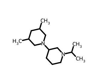 CC1CC(C)CN(C2CCCN(C(C)C)C2)C1